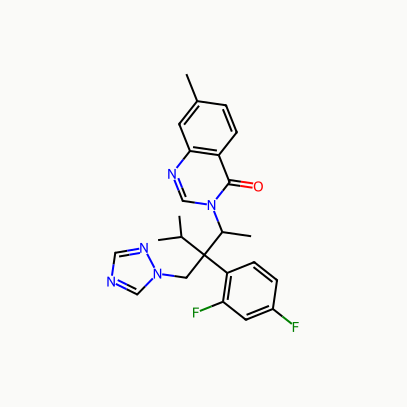 Cc1ccc2c(=O)n(C(C)C(Cn3cncn3)(c3ccc(F)cc3F)C(C)C)cnc2c1